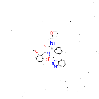 COc1ccccc1CN(C(=O)Cn1nnc2ccccc21)[C@@H](C(=O)NC[C@H]1CCCO1)c1ccc(C)cc1